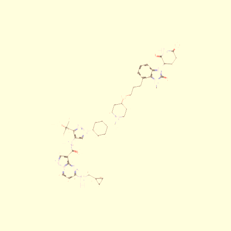 Cn1c(=O)n(C2CCC(=O)NC2=O)c2cccc(CCCOC3CCN(C[C@H]4CC[C@H](n5cc(NC(=O)c6cnn7ccc(NCC8CC8)nc67)c(C(C)(C)O)n5)CC4)CC3)c21